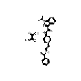 CC(C)n1nc(C(=O)NC2CCN(CCNC(=O)c3ccccc3)CC2)c2ccccc21.O=C(O)C(=O)O